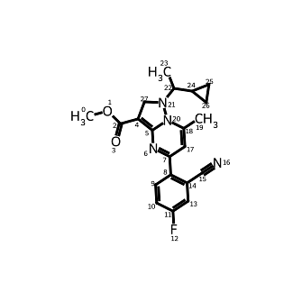 COC(=O)C1=C2N=C(c3ccc(F)cc3C#N)C=C(C)N2N(C(C)C2CC2)C1